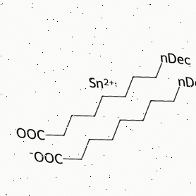 CCCCCCCCCCCCCCCCCC(=O)[O-].CCCCCCCCCCCCCCCCCC(=O)[O-].[Sn+2]